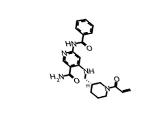 C=CC(=O)N1CCC[C@H](CNc2cc(NC(=O)c3ccccc3)ncc2C(N)=O)C1